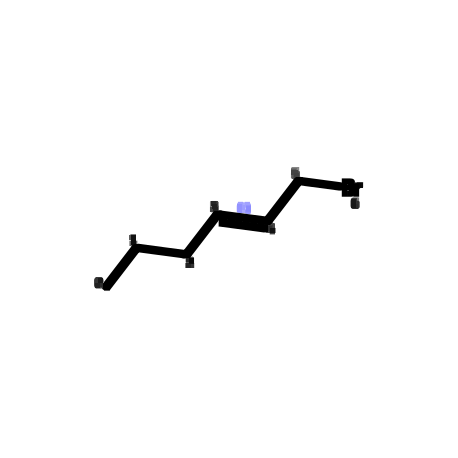 CCC/C=C/CBr